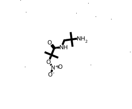 CC(C)(N)CNC(=O)C(C)(C)O[N+](=O)[O-]